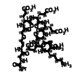 CC(C)C(=O)NCC(=O)NCCOCC(=O)N[C@H](CCC(=O)O)C(=O)N[C@H](CCC(=O)O)C(=O)N[C@H](CCC(=O)O)C(=O)N[C@H](CCC(=O)O)C(=O)N[C@H](CCC(=O)O)C(=O)N[C@H](CCCCN)C(N)=O